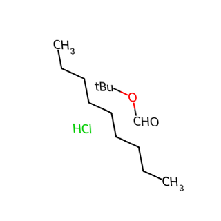 CC(C)(C)OC=O.CCCCCCCCC.Cl